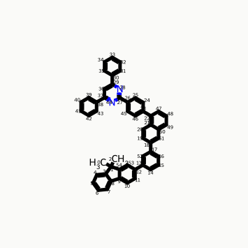 CC1(C)c2ccccc2-c2ccc(-c3cccc(-c4ccc5c(-c6ccc(-c7nc(-c8ccccc8)cc(-c8ccccc8)n7)cc6)cccc5c4)c3)cc21